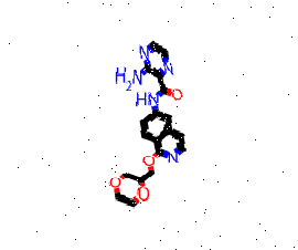 Nc1nccnc1C(=O)Nc1ccc2c(OCC3COCCO3)nccc2c1